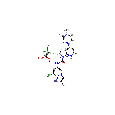 Cc1cn2cc(NC(=O)N3CCc4c(N5CCN(C(C)C)[C@@H](C)C5)ccnc43)cc(F)c2n1.O=C(O)C(F)(F)F